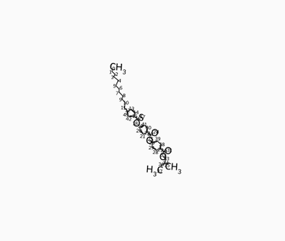 CCCCCCCCCCCCc1ccc(C(=S)Oc2ccc(C(=O)Oc3ccc(C(=O)OCC(C)CC)cc3)cc2)cc1